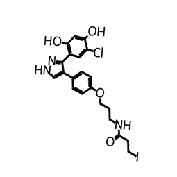 O=C(CCI)NCCCOc1ccc(-c2c[nH]nc2-c2cc(Cl)c(O)cc2O)cc1